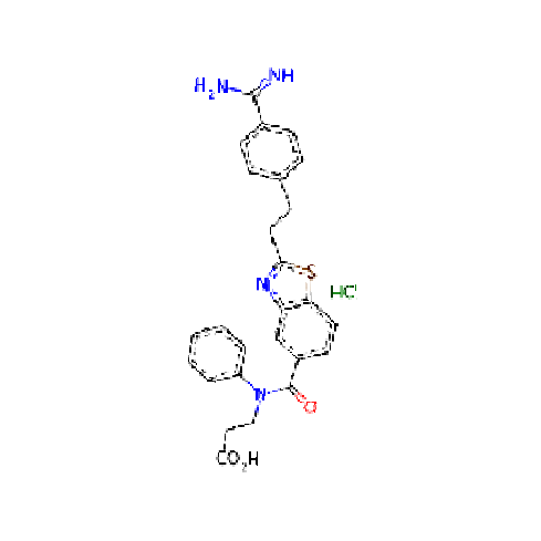 Cl.N=C(N)c1ccc(CCc2nc3cc(C(=O)N(CCC(=O)O)c4ccccc4)ccc3s2)cc1